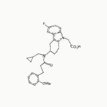 COc1ccccc1CCC(=O)N(CC1CC1)C1CCc2c(c3cc(F)ccc3n2CC(=O)O)C1